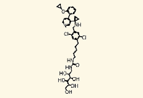 O=C(NCCCCCc1cc(Cl)c(CNC2(c3cnccc3-c3ccccc3OC3CC3)CC2)cc1Cl)NCC(O)C(O)C(O)C(O)CO